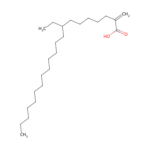 C=C(CCCCCC(CC)CCCCCCCCCCCCC)C(=O)O